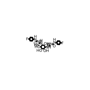 N=C(NC(=O)Nc1ccc(F)cc1)NC1C(O)C(O)C(O)C(NN=CNC(=O)Nc2ccc(F)cc2)C1O